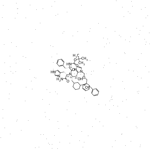 CC(C)(C)OC(=O)N[C@@H](Cc1ccccc1)C(=O)N([C@@H](Cc1c[nH]cn1)C(N)=O)[C@@H](CC1CCCC(COCc2ccccc2)C1)[C@@H](O)c1nccn1COCc1ccccc1